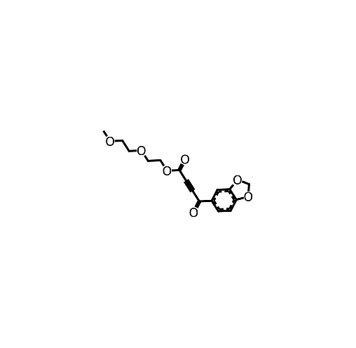 COCCOCCOC(=O)C#CC(=O)c1ccc2c(c1)OCO2